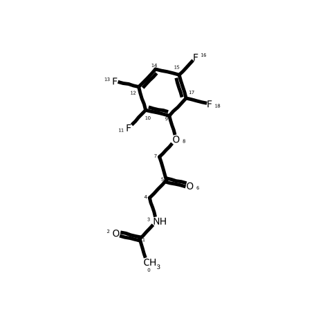 CC(=O)NCC(=O)COc1c(F)c(F)cc(F)c1F